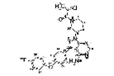 C=C(Cl)C(=O)N1CCCC(n2nc(-c3ccc(Oc4ccc(F)cc4)cc3)c3c(N)ncnc32)C1